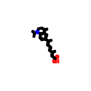 CC(/C=C/C=C(\C)c1ccc2c(c1)C(C)CCN2C(C)C)=C\C(=O)O